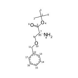 CC(C)(C)OC(=O)[C@H](N)COCc1ccccc1